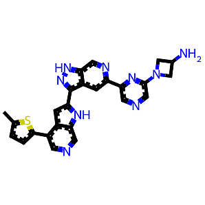 Cc1ccc(-c2cncc3[nH]c(-c4n[nH]c5cnc(-c6cncc(N7CC(N)C7)n6)cc45)cc23)s1